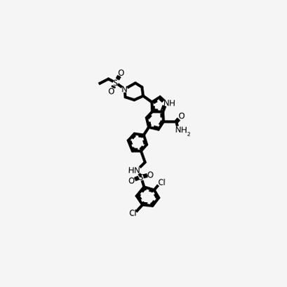 CCS(=O)(=O)N1CCC(c2c[nH]c3c(C(N)=O)cc(-c4cccc(CNS(=O)(=O)c5cc(Cl)ccc5Cl)c4)cc23)CC1